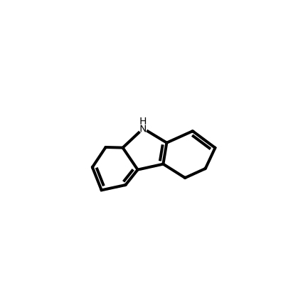 C1=CCC2NC3=C(CCC=C3)C2=C1